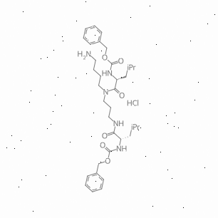 CC(C)C[C@H](NC(=O)OCc1ccccc1)C(=O)NCCCN(CCCCN)C(=O)[C@H](CC(C)C)NC(=O)OCc1ccccc1.Cl